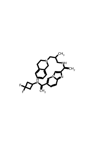 C=C(NC1CC(F)(F)C1)c1ccc2nc(C(=C)NCC(C)CN3CCc4ccccc4C3)cn2c1